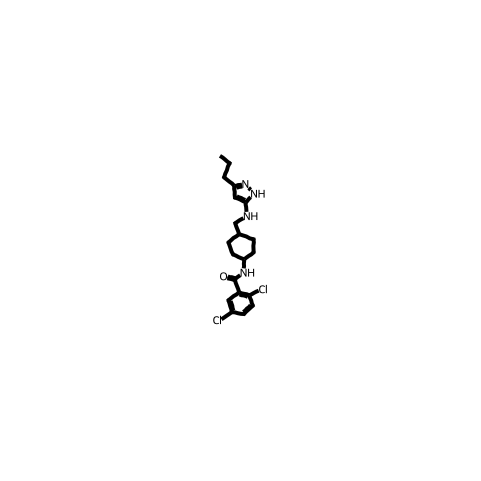 CCCc1cc(NCC2CCC(NC(=O)c3cc(Cl)ccc3Cl)CC2)[nH]n1